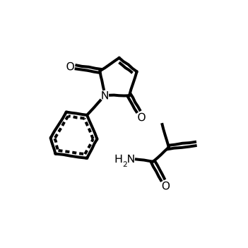 C=C(C)C(N)=O.O=C1C=CC(=O)N1c1ccccc1